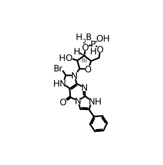 B[PH]1(O)OCC2OC(N3c4nc5[nH]c(-c6ccccc6)cn5c(=O)c4NC3Br)C(O)[C@@H]2O1